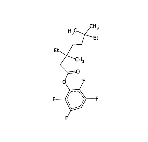 CCC(C)(C)CCC(C)(CC)CC(=O)Oc1c(F)c(F)cc(F)c1F